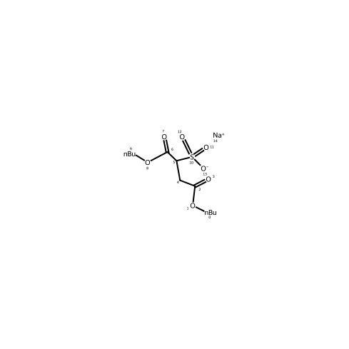 CCCCOC(=O)CC(C(=O)OCCCC)S(=O)(=O)[O-].[Na+]